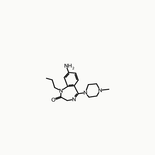 CCCN1C(=O)CN=C(N2CCN(C)CC2)c2ccc(N)cc21